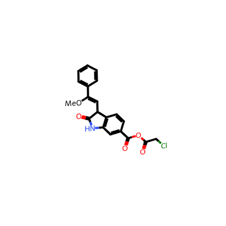 COC(=CC1C(=O)Nc2cc(C(=O)OC(=O)CCl)ccc21)c1ccccc1